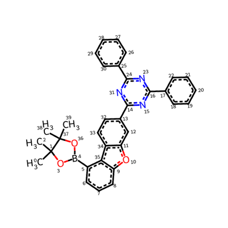 CC1(C)OB(c2cccc3oc4cc(-c5nc(-c6ccccc6)nc(-c6ccccc6)n5)ccc4c23)OC1(C)C